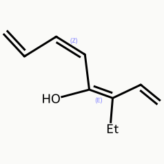 C=C/C=C\C(O)=C(/C=C)CC